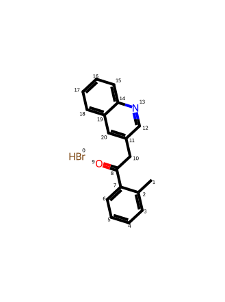 Br.Cc1ccccc1C(=O)Cc1cnc2ccccc2c1